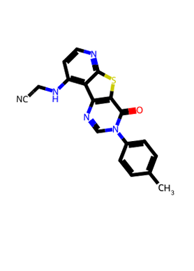 Cc1ccc(-n2cnc3c(sc4nccc(NCC#N)c43)c2=O)cc1